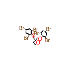 Brc1cc(Br)c(OCC2(COc3c(Br)cc(Br)cc3Br)CCO2)c(Br)c1